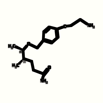 C[C@@H](CCC(N)=O)[C@@H](C)OCc1ccc(CCCN)cc1